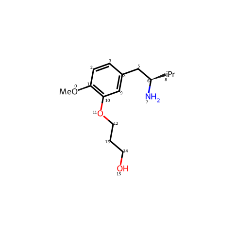 COc1ccc(C[C@H](N)C(C)C)cc1OCCCO